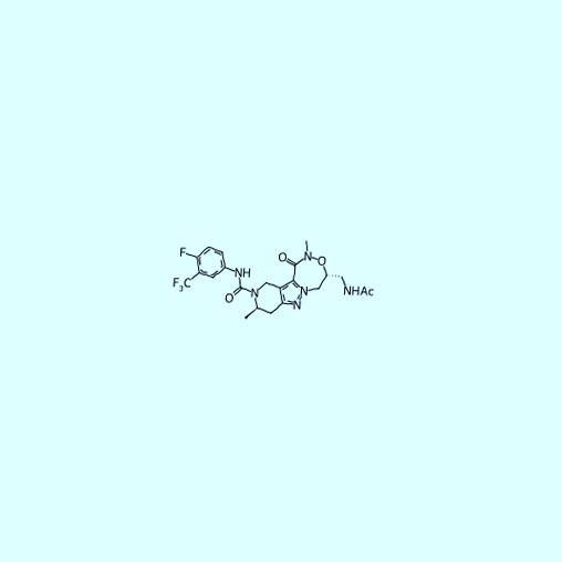 CC(=O)NC[C@@H]1Cn2nc3c(c2C(=O)N(C)O1)CN(C(=O)Nc1ccc(F)c(C(F)(F)F)c1)[C@H](C)C3